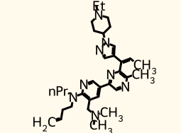 C=CCCN(CCC)c1ncc(-c2cnc(C)c(/C(=C\C)c3cnn(C4CCN(CC)CC4)c3)n2)cc1CN(C)C